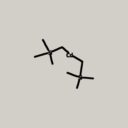 C[Si](C)(C)[CH2][Cd][CH2][Si](C)(C)C